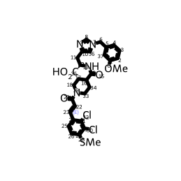 COc1cccc(Cn2cnc(C[C@H](NC(=O)C3CCN(C(=O)/C=C/c4ccc(SC)c(Cl)c4Cl)CC3)C(=O)O)c2)c1